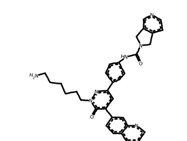 NCCCCCCn1nc(-c2ccc(NC(=O)N3Cc4ccncc4C3)cc2)cc(-c2ccc3cccnc3c2)c1=O